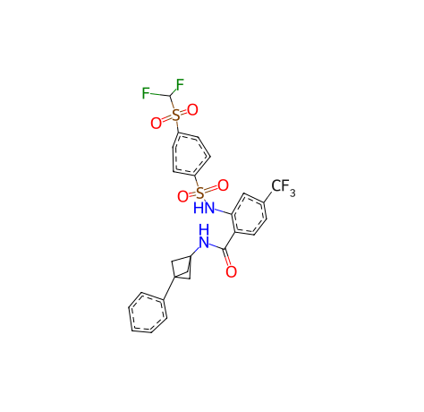 O=C(NC12CC(c3ccccc3)(C1)C2)c1ccc(C(F)(F)F)cc1NS(=O)(=O)c1ccc(S(=O)(=O)C(F)F)cc1